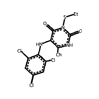 CCSn1c(=O)[nH]c(C#N)c(Nc2c(Cl)cc(Cl)cc2Cl)c1=O